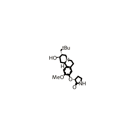 COc1cc2c(cc1O[C@@H]1CCNC1=O)CCN1C[C@@H](CC(C)(C)C)[C@H](O)C[C@H]21